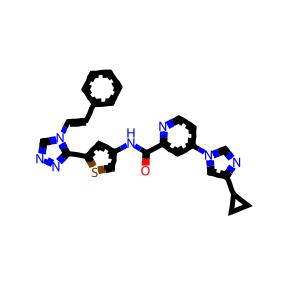 O=C(Nc1csc(-c2nncn2C=Cc2ccccc2)c1)c1cc(-n2cnc(C3CC3)c2)ccn1